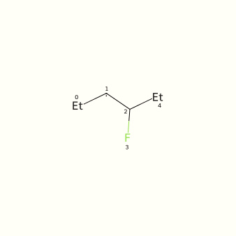 CC[CH]C(F)CC